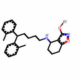 CCOc1noc2c1C(NCCCCC(c1ccccc1C)c1ccccc1C)CCC2